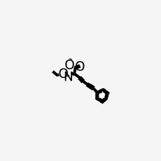 CCON=C(C#CC#Cc1ccccc1)C(=O)OC